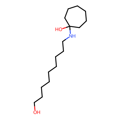 OCCCCCCCCCNC1(O)CCCCCC1